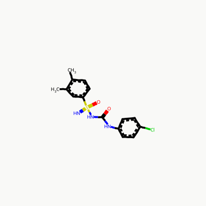 Cc1ccc(S(=N)(=O)NC(=O)Nc2ccc(Cl)cc2)cc1C